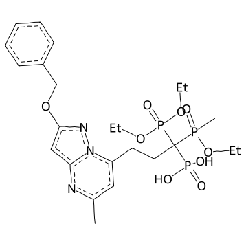 CCOP(C)(=O)C(CCc1cc(C)nc2cc(OCc3ccccc3)nn12)(P(=O)(O)O)P(=O)(OCC)OCC